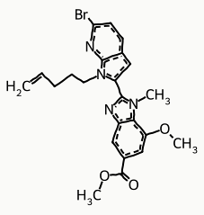 C=CCCCn1c(-c2nc3cc(C(=O)OC)cc(OC)c3n2C)cc2ccc(Br)nc21